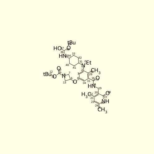 CCN(c1cc(OC2CN(C(=O)OC(C)(C)C)C2)cc(C(=O)NCc2c(C)cc(C)[nH]c2=O)c1C)C1CCC(NC(O)OC(C)(C)C)CC1